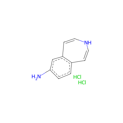 Cl.Cl.Nc1ccc2c(c1)C=CNC=C2